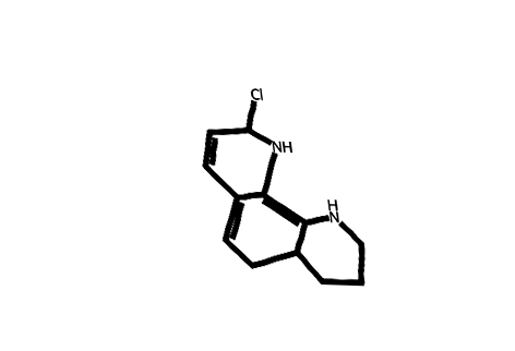 ClC1C=CC2=CCC3CCCNC3=C2N1